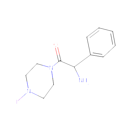 NC(C(=O)N1CCN(I)CC1)c1ccccc1